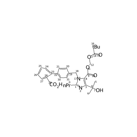 CCCc1nc(C(C)(C)O)c(C(=O)OCOC(=O)C(C)(C)C)n1Cc1ccc(-c2ccccc2C(=O)O)cc1